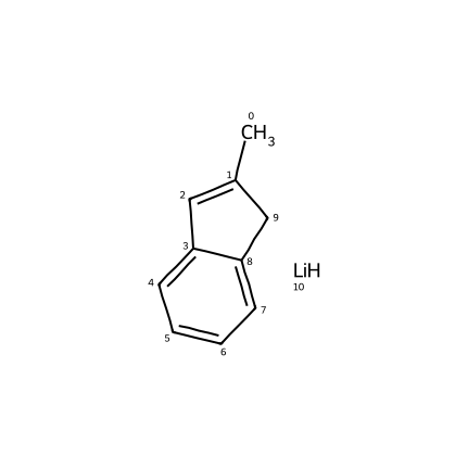 CC1=Cc2ccccc2C1.[LiH]